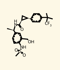 C[C@@H](NC(=O)[C@H]1C[C@@H]1c1ccc(C(C)(C)C(F)(F)F)cc1)c1ccc(NS(C)(=O)=O)c(CO)c1